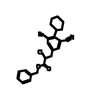 N#Cc1cc(CC(Cl)C(=O)OCc2ccccc2)cc(Br)c1C1CCCCC1